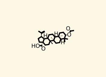 C=C(C)[C@@H]1CC[C@]2(C(=O)O)CC[C@]3(C)[C@H](CC[C@@H]4[C@@]5(C)CC[C@H](OC(C)=O)C(C)(C)[C@@H]5CC[C@]43C)C12